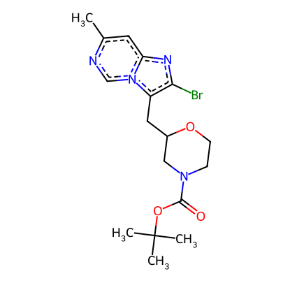 Cc1cc2nc(Br)c(CC3CN(C(=O)OC(C)(C)C)CCO3)n2cn1